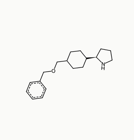 c1ccc(COCC2CCC([C@H]3CCCN3)CC2)cc1